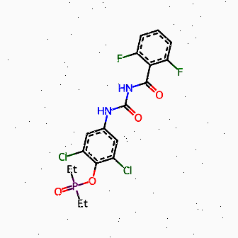 CCP(=O)(CC)Oc1c(Cl)cc(NC(=O)NC(=O)c2c(F)cccc2F)cc1Cl